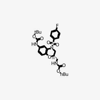 CCCCOC(=O)NC[C@H]1CN(S(=O)(=O)c2ccc(F)cc2)c2cc(NC(=O)OC(C)(C)C)ccc2O1